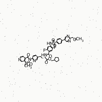 COCc1ncc(-c2ccc(S(=O)(=O)Nc3cc(F)c(C(=O)N[C@@H](CCc4ccc(-n5c(=O)c6ccncc6n(C)c5=O)nc4)C(=O)OCC4CCCC4)cc3F)cc2)cn1